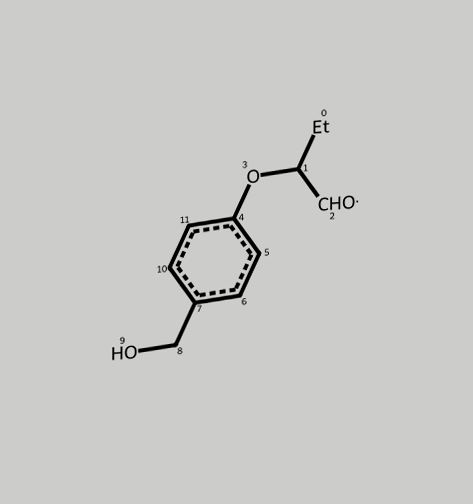 CCC([C]=O)Oc1ccc(CO)cc1